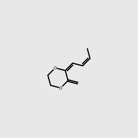 C=C1OCCO/C1=C/C=C\C